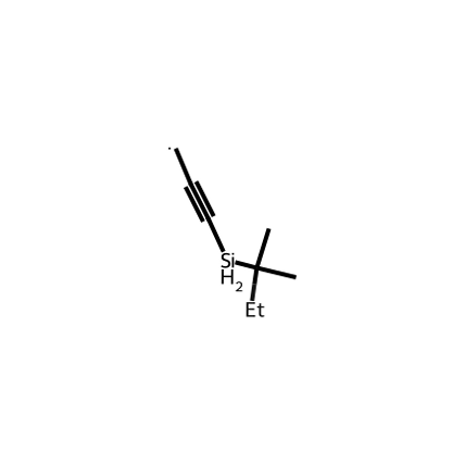 [CH2]C#C[SiH2]C(C)(C)CC